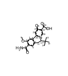 COc1cc2c(cc1C(N)=O)CC(C(C)(C)C)n1cc(C(=O)O)c(=O)cc1-2